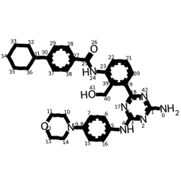 Nc1nc(Nc2ccc(N3CCOCC3)cc2)nc(-c2cccc(NC(=O)c3ccc(C4CCCCC4)cc3)c2CO)n1